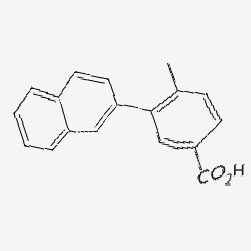 Cc1ccc(C(=O)O)cc1-c1ccc2ccccc2c1